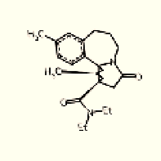 CCN(CC)C(=O)[C@H]1C2CC(=O)N3CCCc4cc(C)ccc4C23C[C@@H]1C